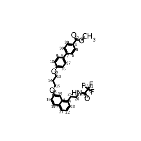 COC(=O)c1ccc(-c2ccc(OCCCOc3ccc4cccc(CCNC(=O)C(F)(F)F)c4c3)cc2)cc1